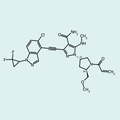 C=CC(=O)N1C[C@@H](n2nc(C#Cc3c(Cl)ccc4c3cnn4C3CC3(F)F)c(C(N)=O)c2NC)C[C@@H]1COC